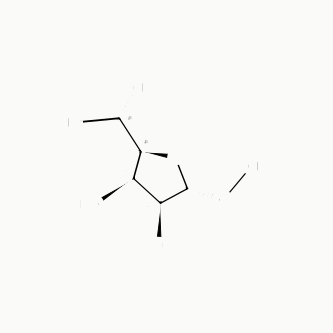 CO[C@H]1O[C@H]([C@@H](C)O)[C@H](O)[C@@H]1O